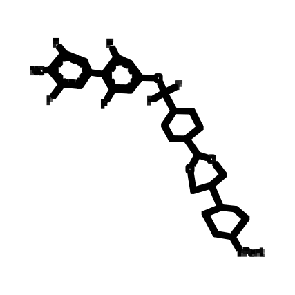 CCCCCC1CCC(C2COC(C3CCC(C(F)(F)Oc4cc(F)c(-c5cc(F)c(C#N)c(F)c5)c(F)c4)CC3)OC2)CC1